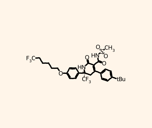 CC(C)(C)c1ccc(C2=C(C(=O)NS(C)(=O)=O)C(=O)N[C@@](c3ccc(OCCCCCC(F)(F)F)cc3)(C(F)(F)F)C2)cc1